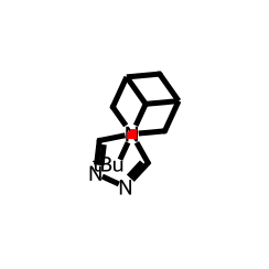 CC(C)(C)N1CC2CC(C1)C2n1cnnc1